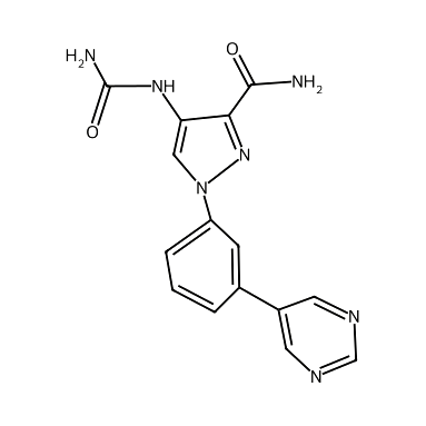 NC(=O)Nc1cn(-c2cccc(-c3cncnc3)c2)nc1C(N)=O